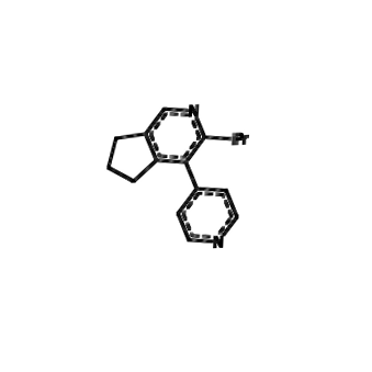 CC(C)c1ncc2c(c1-c1ccncc1)CCC2